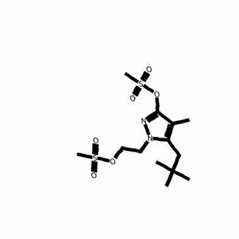 Cc1c(OS(C)(=O)=O)nn(CCOS(C)(=O)=O)c1CC(C)(C)C